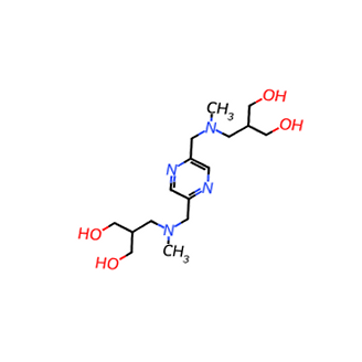 CN(Cc1cnc(CN(C)CC(CO)CO)cn1)CC(CO)CO